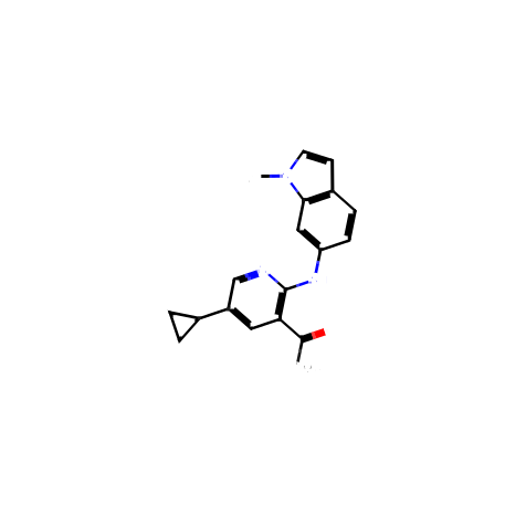 COC(=O)c1cc(C2CC2)cnc1Nc1ccc2ccn(C)c2c1